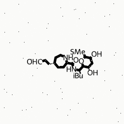 CCC(C)[C@@H](NC(=O)C1CC[C@H](CCC=O)CCN1)C1OC(SC)C(O)C[C@@H]1O